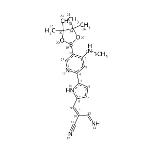 CNc1cc(-c2ccc(/C=C(/C#N)C=N)[nH]2)ncc1B1OC(C)(C)C(C)(C)O1